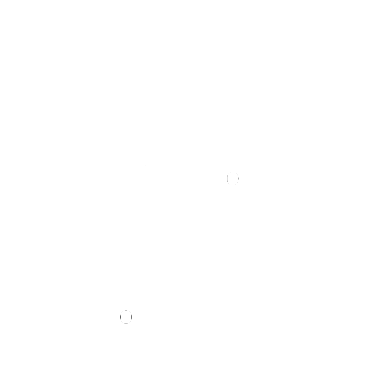 CCCC(C)C(OC)C(C)C=O